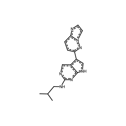 CC(C)CNc1ncc2c(-c3ccc4nccn4n3)c[nH]c2n1